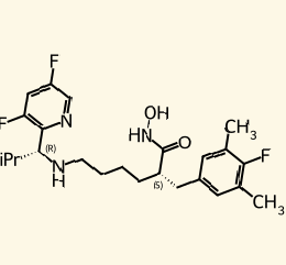 Cc1cc(C[C@H](CCCCN[C@@H](c2ncc(F)cc2F)C(C)C)C(=O)NO)cc(C)c1F